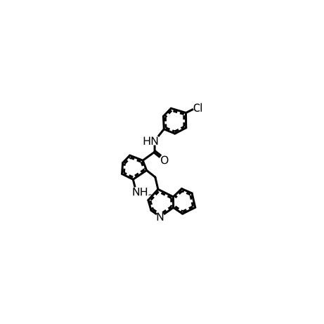 Nc1cccc(C(=O)Nc2ccc(Cl)cc2)c1Cc1ccnc2ccccc12